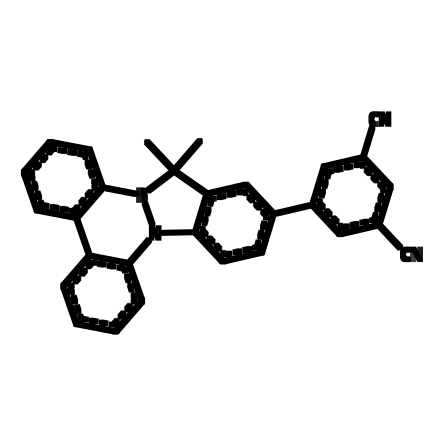 CC1(C)B2c3ccccc3-c3ccccc3N2c2ccc(-c3cc(C#N)cc(C#N)c3)cc21